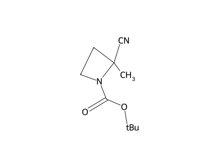 CC(C)(C)OC(=O)N1CCC1(C)C#N